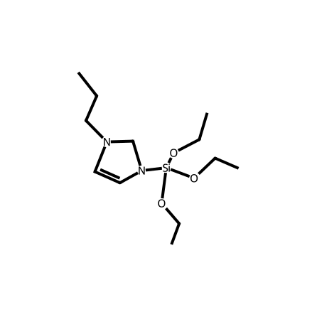 CCCN1C=CN([Si](OCC)(OCC)OCC)C1